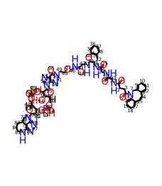 O=C(CCC(=O)N1Cc2ccccc2/C=C\c2ccccc21)NCC(=O)NCC(=O)N[C@@H](Cc1ccccc1)C(=O)NCC(=O)NCOCCn1cnc2c(ncn2[C@@H]2O[C@@H]3CO[P@@](=O)(S)OC4C(F)[C@H](n5cc6c7c(ncnc75)NCCC6)O[C@@H]4CO[P@@](=O)(S)OC2C3O)c1=O